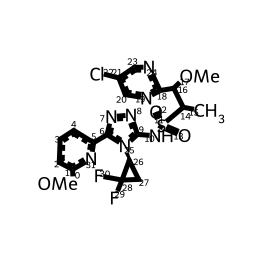 COc1cccc(-c2nnc(NS(=O)(=O)C(C)C(OC)c3ncc(Cl)cn3)n2[C@H]2CC2(F)F)n1